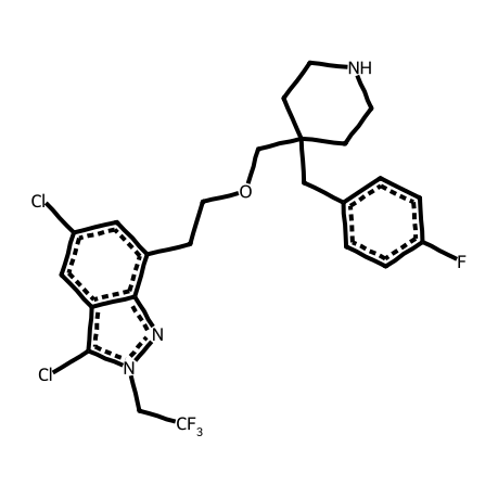 Fc1ccc(CC2(COCCc3cc(Cl)cc4c(Cl)n(CC(F)(F)F)nc34)CCNCC2)cc1